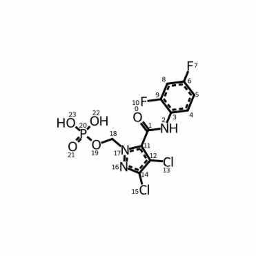 O=C(Nc1ccc(F)cc1F)c1c(Cl)c(Cl)nn1COP(=O)(O)O